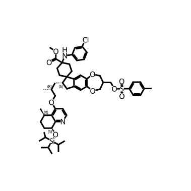 COC(=O)C1(Nc2cccc(Cl)c2)CCC2(CC1)c1cc3c(cc1C[C@@H]2C[C@@H](C)COc1ccnc2c1[C@H](C)CC[C@@H]2O[Si](C(C)C)(C(C)C)C(C)C)OCC(COS(=O)(=O)c1ccc(C)cc1)CO3